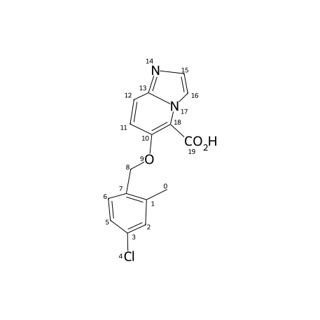 Cc1cc(Cl)ccc1COc1ccc2nccn2c1C(=O)O